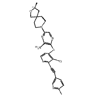 Cc1ccc(C#Cc2nccc(Sc3ncc(N4CCC5(CC4)CO[C@@H](C)C5)nc3N)c2Cl)cn1